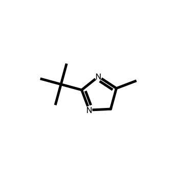 CC1=NC(C(C)(C)C)=NC1